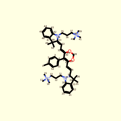 Cc1ccc(C2=C(/C=C/C3=[N+](CCC[N+](C)(C)C)c4ccccc4C3(C)C)OCO/C2=C\C=C2\N(CCC[N+](C)(C)C)c3ccccc3C2(C)C)cc1